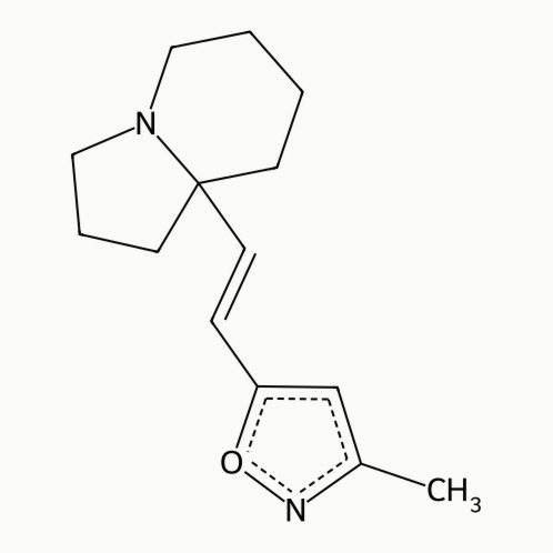 Cc1cc(/C=C/C23CCCCN2CCC3)on1